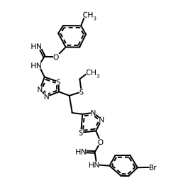 CCSC(Cc1nnc(OC(=N)Nc2ccc(Br)cc2)s1)c1nnc(NC(=N)Oc2ccc(C)cc2)s1